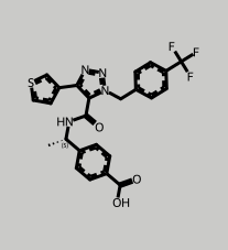 C[C@H](NC(=O)c1c(-c2ccsc2)nnn1Cc1ccc(C(F)(F)F)cc1)c1ccc(C(=O)O)cc1